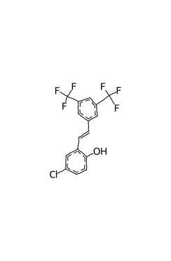 Oc1ccc(Cl)cc1C=Cc1cc(C(F)(F)F)cc(C(F)(F)F)c1